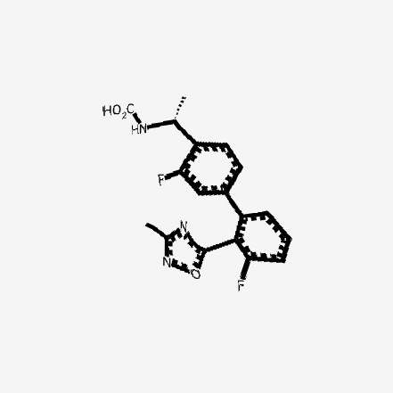 Cc1noc(-c2c(F)cccc2-c2ccc([C@@H](C)NC(=O)O)c(F)c2)n1